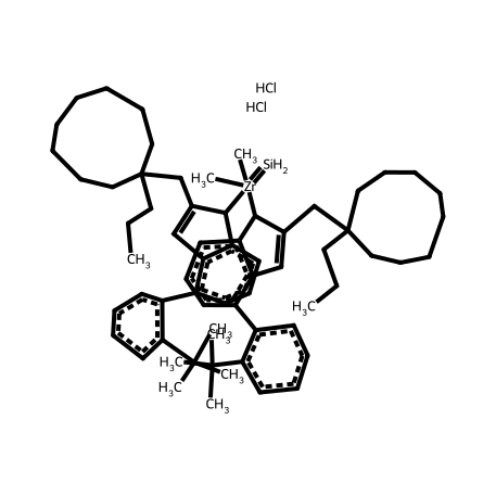 CCCC1(CC2=Cc3c(-c4ccccc4C(C)(C)C)cccc3[CH]2[Zr]([CH3])([CH3])(=[SiH2])[CH]2C(CC3(CCC)CCCCCCCC3)=Cc3c(-c4ccccc4C(C)(C)C)cccc32)CCCCCCCC1.Cl.Cl